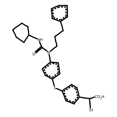 CCC(C(=O)O)c1ccc(Sc2ccc(N(CCCc3ccccc3)C(=O)NC3CCCCC3)cc2)cc1